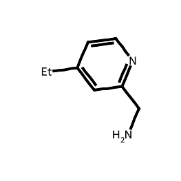 CCc1ccnc(CN)c1